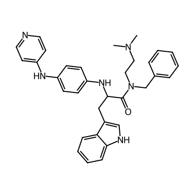 CN(C)CCN(Cc1ccccc1)C(=O)C(Cc1c[nH]c2ccccc12)Nc1ccc(Nc2ccncc2)cc1